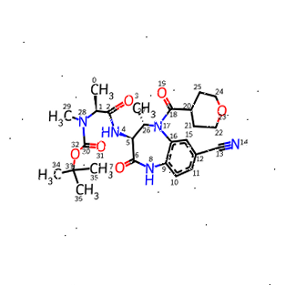 C[C@@H](C(=O)N[C@@H]1C(=O)Nc2ccc(C#N)cc2N(C(=O)C2CCOCC2)[C@H]1C)N(C)C(=O)OC(C)(C)C